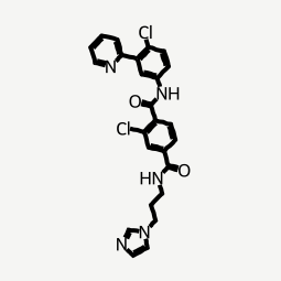 O=C(NCCCn1ccnc1)c1ccc(C(=O)Nc2ccc(Cl)c(-c3ccccn3)c2)c(Cl)c1